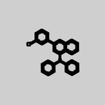 Clc1cccc(-c2cc(N(c3ccccc3)c3ccccc3)c3ccccc3c2)c1